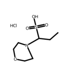 CCC(N1CCOCC1)S(=O)(=O)O.Cl